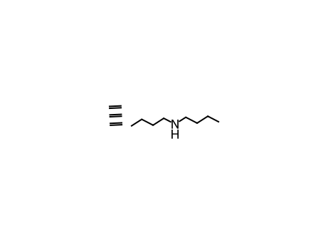 C=C.C=C.C=C.CCCCNCCCC